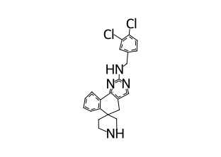 Clc1ccc(CNc2ncc3c(n2)-c2ccccc2C2(CCNCC2)C3)cc1Cl